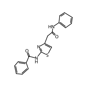 O=C(Cc1csc(NC(=O)c2ccccc2)n1)Nc1ccccc1